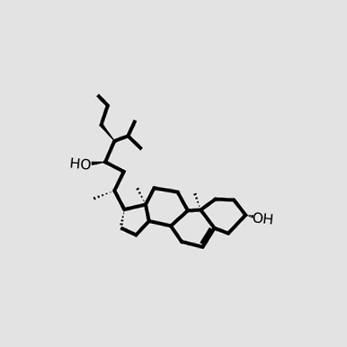 CCC[C@@H](C(C)C)[C@H](O)C[C@@H](C)[C@H]1CCC2C3CC=C4C[C@@H](O)CC[C@]4(C)C3CC[C@@]21C